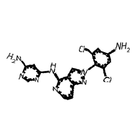 Nc1cc(Cl)c(-n2cc3c(Nc4cc(N)ncn4)nccc3n2)c(Cl)c1